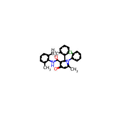 Cc1ccccc1-c1c(C(=O)Nc2c(C)cccc2C)c(=O)cc(C)n1-c1ccccc1Cl